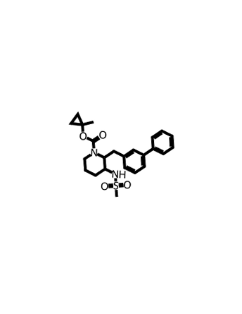 CC1(OC(=O)N2CCCC(NS(C)(=O)=O)C2Cc2cccc(-c3ccccc3)c2)CC1